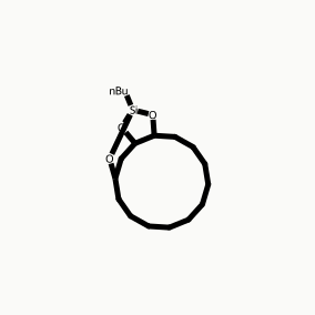 CCCC[Si]12OC3CCCCCCCCCCC(O1)C(C3)O2